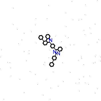 c1ccc(-c2ccc(-c3nc(-c4ccc(-c5nc6ccccc6c6c(-c7ccccc7)cccc56)cc4)c4ccccc4n3)cc2)cc1